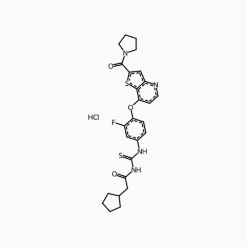 Cl.O=C(CC1CCCC1)NC(=S)Nc1ccc(Oc2ccnc3cc(C(=O)N4CCCC4)sc23)c(F)c1